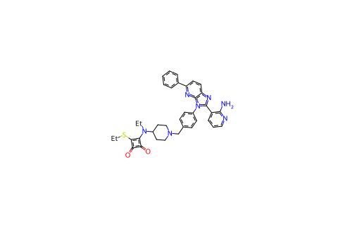 CCSc1c(N(CC)C2CCN(Cc3ccc(-n4c(-c5cccnc5N)nc5ccc(-c6ccccc6)nc54)cc3)CC2)c(=O)c1=O